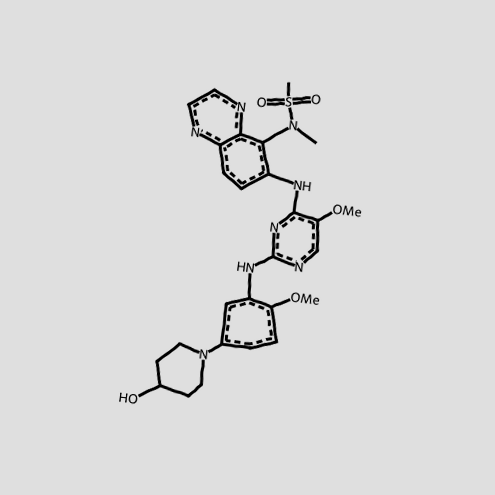 COc1ccc(N2CCC(O)CC2)cc1Nc1ncc(OC)c(Nc2ccc3nccnc3c2N(C)S(C)(=O)=O)n1